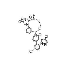 O=C1CN2c3cccc(c3)C(n3cnc(-c4cc(Cl)ccc4-n4cc(Cl)nn4)cc3=O)CCCCCNC(=O)C2CN1